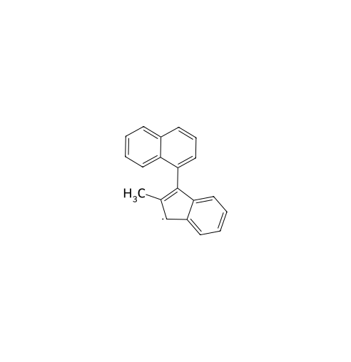 CC1=C(c2cccc3ccccc23)c2ccccc2[CH]1